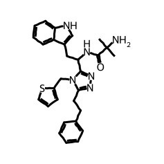 CC(C)(N)C(=O)NC(Cc1c[nH]c2ccccc12)c1nnc(CCc2ccccc2)n1Cc1cccs1